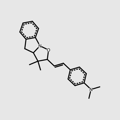 CN(C)c1ccc(C=CC2ON3c4ccccc4CC3C2(C)C)cc1